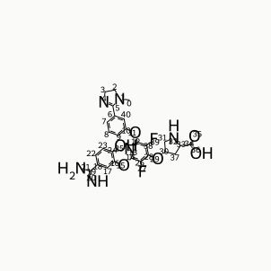 CN1CCN=C1c1cccc(Oc2nc(Oc3cc(C(=N)N)ccc3O)c(F)c(OC3CNC(C(=O)O)C3)c2F)c1